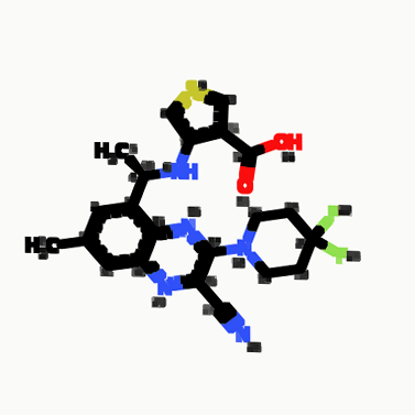 Cc1cc([C@@H](C)Nc2cscc2C(=O)O)c2nc(N3CCC(F)(F)CC3)c(C#N)nc2c1